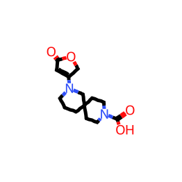 O=C1C=C(N2CCCC3(CCN(C(=O)O)CC3)C2)CO1